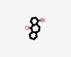 O=c1c2ccccc2ccc2c(Br)cccc12